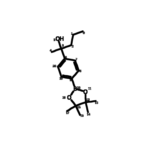 CCCC(C)(O)c1ccc(B2OC(C)(C)C(C)(C)O2)cc1